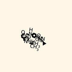 CC(C)CNc1ncc2ccc(=O)n(CC(=O)Nc3ccc(S(=O)(=O)n4cnc(C5CC5)n4)cc3)c2n1